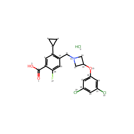 Cl.O=C(O)c1cc(C2CC2)c(CN2CC(Oc3cc(Cl)cc(Cl)c3)C2)cc1F